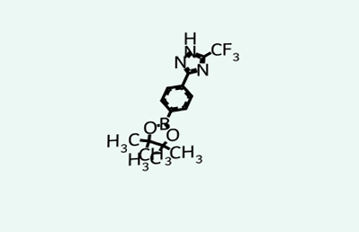 CC1(C)OB(c2ccc(-c3n[nH]c(C(F)(F)F)n3)cc2)OC1(C)C